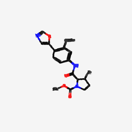 COc1cc(NC(=O)C2C(C(C)C)CCN2C(=O)OC(C)(C)C)ccc1-c1cnco1